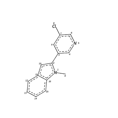 Cn1c(-c2cncc(Cl)c2)cc2ccccc21